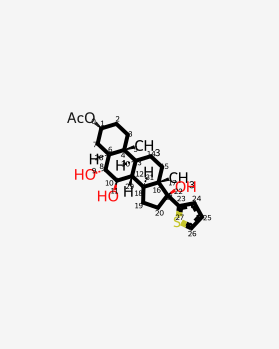 CC(=O)O[C@H]1CC[C@@]2(C)[C@H](C1)[C@@H](O)[C@H](O)[C@@H]1[C@@H]2CC[C@@]2(C)[C@H]1CC[C@@]2(O)c1cccs1